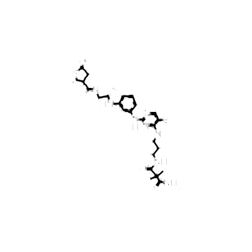 CC(C)(C(N)=O)C(=O)NCCCNc1nc(Nc2cccc(NC(=O)CNC(=O)C3CSC(=O)C3)c2)ncc1Br